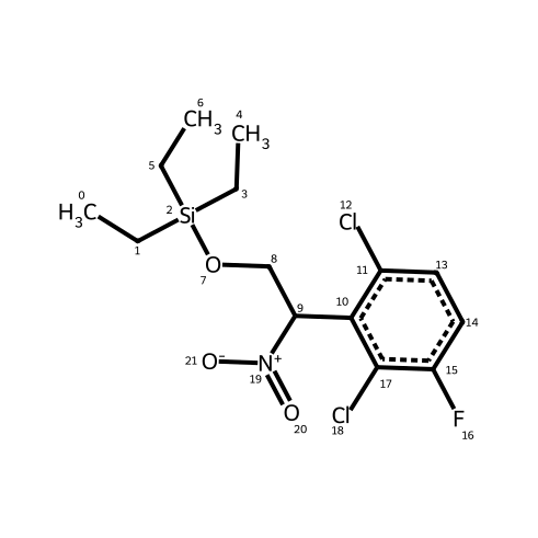 CC[Si](CC)(CC)OCC(c1c(Cl)ccc(F)c1Cl)[N+](=O)[O-]